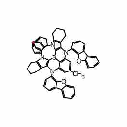 Cc1cc2c3c(c1)N(c1cccc4c1oc1ccccc14)c1c4c(n(C5=CC=CCC5)c1B3c1c(c3c(n1C1=C=C=CC=C1)CCCC3)N2c1cccc2c1oc1ccccc12)CCCC4